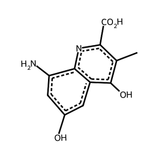 Cc1c(C(=O)O)nc2c(N)cc(O)cc2c1O